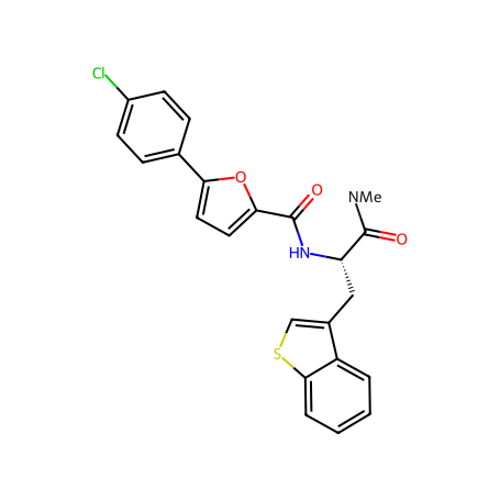 CNC(=O)[C@H](Cc1csc2ccccc12)NC(=O)c1ccc(-c2ccc(Cl)cc2)o1